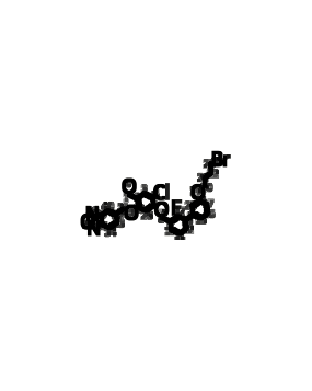 O=Cc1cc(Cl)c(OCc2cccc(-c3cccc(OCCCCBr)c3)c2F)cc1OCc1ccc2nonc2c1